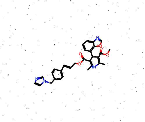 COC(=O)C1=C(C)NC(C)=C(C(=O)OCC=Cc2ccc(Cn3ccnc3)cc2)C1c1cccc2ncoc12